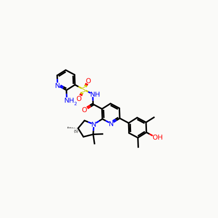 Cc1cc(-c2ccc(C(=O)NS(=O)(=O)c3cccnc3N)c(N3C[C@@H](C)CC3(C)C)n2)cc(C)c1O